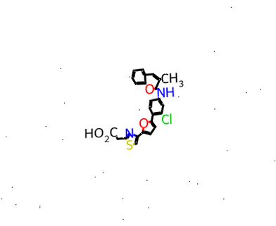 CC(=Cc1ccccc1)C(=O)Nc1ccc(-c2ccc(-c3csc(CC(=O)O)n3)o2)c(Cl)c1